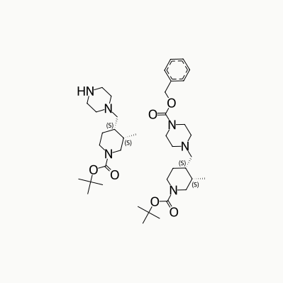 C[C@@H]1CN(C(=O)OC(C)(C)C)CC[C@@H]1CN1CCN(C(=O)OCc2ccccc2)CC1.C[C@@H]1CN(C(=O)OC(C)(C)C)CC[C@@H]1CN1CCNCC1